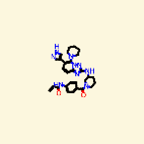 C=CC(=O)Nc1ccc(C(=O)N2CCCC(Nc3nc4ccc(-c5cn[nH]c5)c(N5CCCCC5)n4n3)C2)cc1